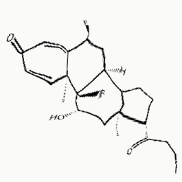 C[C@]12C[C@H](O)[C@@]3(F)[C@@H](C[C@H](F)C4=CC(=O)C=C[C@@]43C)C1CC[C@@H]2C(=O)CF